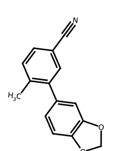 Cc1ccc(C#N)cc1-c1ccc2c(c1)OCO2